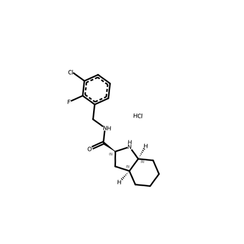 Cl.O=C(NCc1cccc(Cl)c1F)[C@@H]1C[C@@H]2CCCC[C@@H]2N1